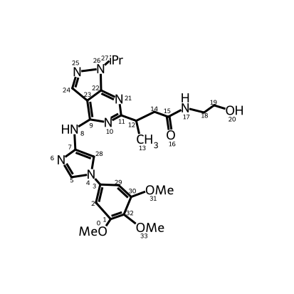 COc1cc(-n2cnc(Nc3nc(C(C)CC(=O)NCCO)nc4c3cnn4C(C)C)c2)cc(OC)c1OC